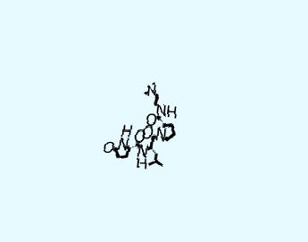 CC(C)C[C@H](NC(=O)[C@@H]1CCC(=O)N1)C(=O)N1CCC[C@H]1C(=O)NCCN(C)C